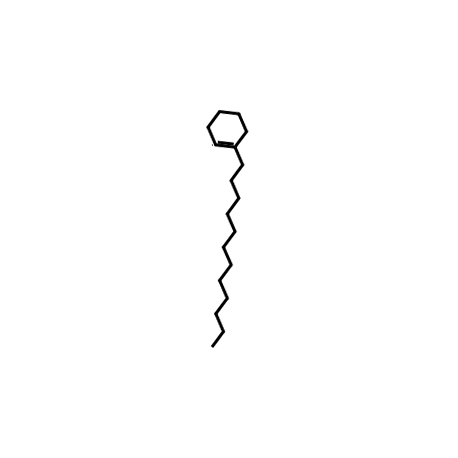 CCCCCCCCCCCCC1=[C]CCCC1